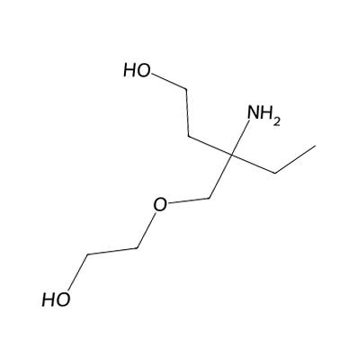 CCC(N)(CCO)COCCO